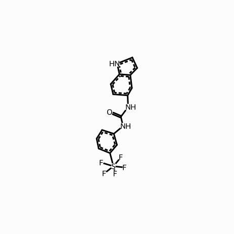 O=C(Nc1cccc(S(F)(F)(F)(F)F)c1)Nc1ccc2[nH]ccc2c1